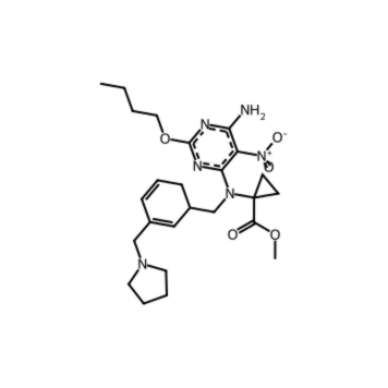 CCCCOc1nc(N)c([N+](=O)[O-])c(N(CC2C=C(CN3CCCC3)C=CC2)C2(C(=O)OC)CC2)n1